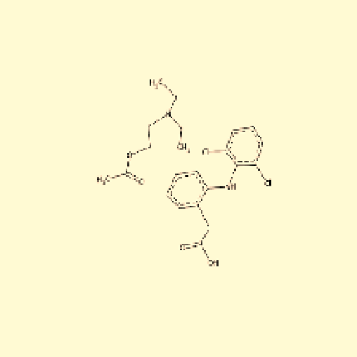 CCN(CC)CCOC(C)=O.O=C(O)Cc1ccccc1Nc1c(Cl)cccc1Cl